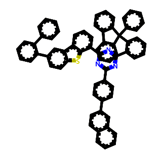 c1ccc(-c2ccccc2-c2ccc3sc4c(-c5nc(-c6ccc(-c7ccc8ccccc8c7)cc6)nc(-c6ccccc6C6(c7ccccc7)c7ccccc7-c7ccccc76)n5)cccc4c3c2)cc1